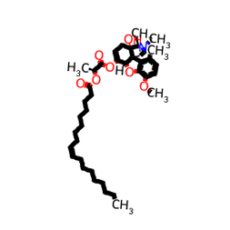 CCCCCCCC/C=C\CCCCCCCC(=O)O[C@@H](C)C(=O)OC1=CC[C@@]2(O)[C@@H](C)N(C)CC[C@@]23c2c(C)ccc(OC)c2O[C@@H]13